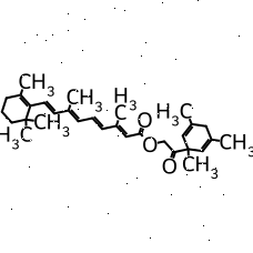 CC1=CC(C)(C(=O)COC(=O)/C=C(C)/C=C/C=C(C)/C=C/C2=C(C)CCCC2(C)C)C=C(C)C1